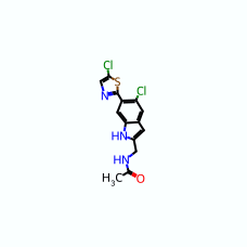 CC(=O)NCc1cc2cc(Cl)c(-c3ncc(Cl)s3)cc2[nH]1